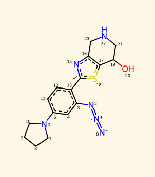 [N-]=[N+]=Nc1cc(N2CCCC2)ccc1-c1nc2c(s1)C(O)CNC2